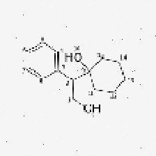 OCC(c1ccccc1)C1(O)CCCCC1